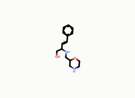 OCC(/C=C/c1ccccc1)NCC1CNCCO1